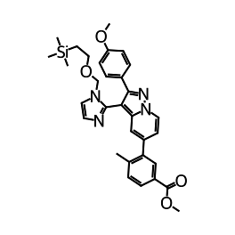 COC(=O)c1ccc(C)c(-c2ccn3nc(-c4ccc(OC)cc4)c(-c4nccn4COCC[Si](C)(C)C)c3c2)c1